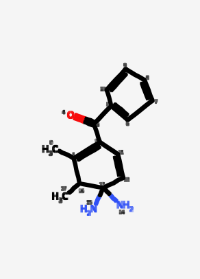 CC1=C(C(=O)c2ccccc2)C=CC(N)(N)C1C